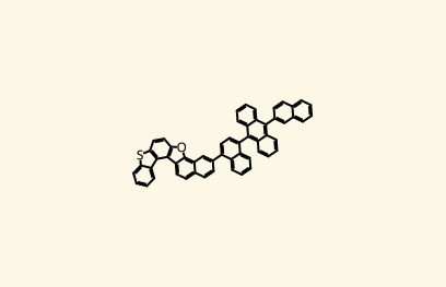 c1ccc2cc(-c3c4ccccc4c(-c4ccc(-c5ccc6ccc7c(oc8ccc9sc%10ccccc%10c9c87)c6c5)c5ccccc45)c4ccccc34)ccc2c1